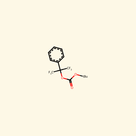 CC(C)(C)OC(=O)OC(c1ccccc1)(C(F)(F)F)C(F)(F)F